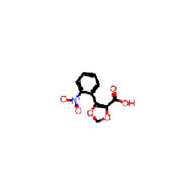 O=C(O)C1=C(c2ccccc2[N+](=O)[O-])OCO1